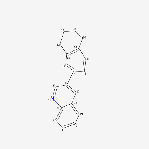 c1ccc2ncc(-c3ccc4c(c3)CCCC4)cc2c1